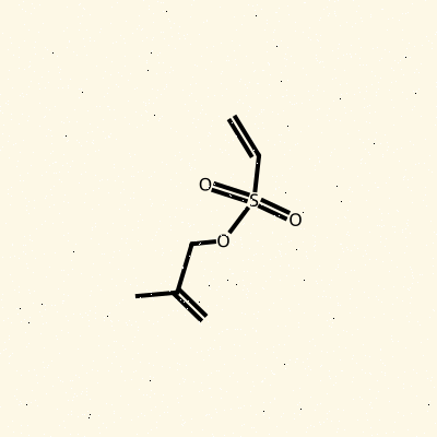 C=CS(=O)(=O)OCC(=C)C